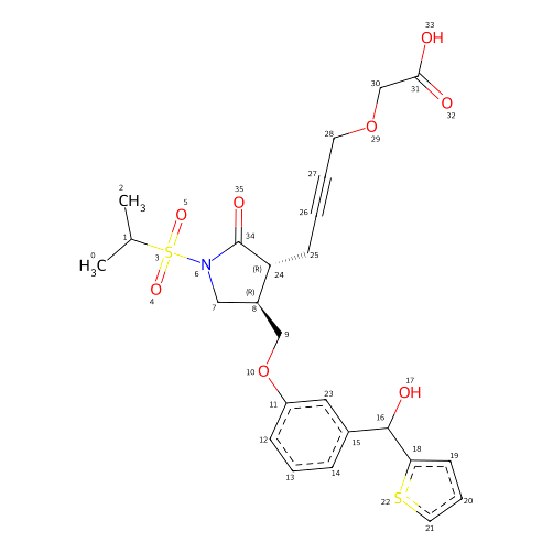 CC(C)S(=O)(=O)N1C[C@H](COc2cccc(C(O)c3cccs3)c2)[C@@H](CC#CCOCC(=O)O)C1=O